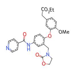 CCOC(=O)Cc1ccc(OC)c(Oc2ccc(NC(=O)c3ccncc3)cc2CN2CCOC2=O)c1